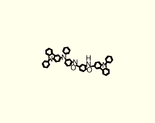 c1ccc(N(c2ccc3oc(-c4ccc5c(c4)NC(c4ccc6c(c4)c4ccccc4n6-c4ccccc4)O5)nc3c2)c2ccc3c(c2)c2ccccc2n3-c2ccccc2)cc1